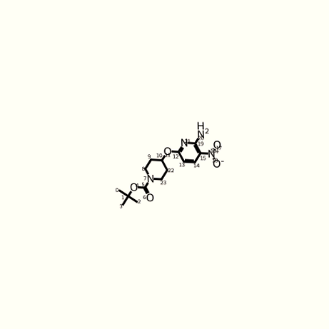 CC(C)(C)OC(=O)N1CCC(Oc2ccc([N+](=O)[O-])c(N)n2)CC1